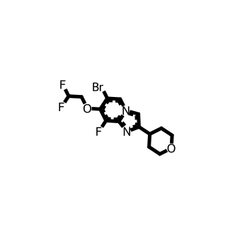 Fc1c(OCC(F)F)c(Br)cn2cc(C3CCOCC3)nc12